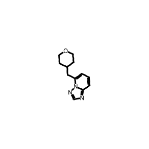 [c]1nc2cccc(CC3CCOCC3)n2n1